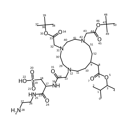 CC(C)C(C)OC(=O)CC1CCN(CC(=O)NC(CS(=O)(=O)O)C(=O)NCCN)CCN(CC(=O)OC(C)(C)C)CCN(CC(=O)OC(C)(C)C)CC1